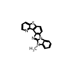 Cn1c2ccccc2n2c3ccc4sc5cccnc5c4c3nc12